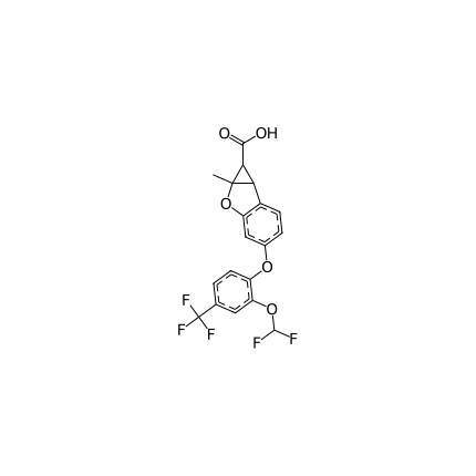 CC12Oc3cc(Oc4ccc(C(F)(F)F)cc4OC(F)F)ccc3C1C2C(=O)O